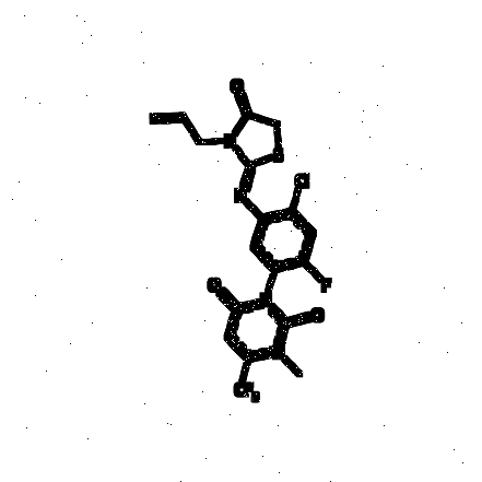 C=CCN1C(=O)CSC1=Nc1cc(-n2c(=O)cc(C(F)(F)F)n(C)c2=O)c(F)cc1Cl